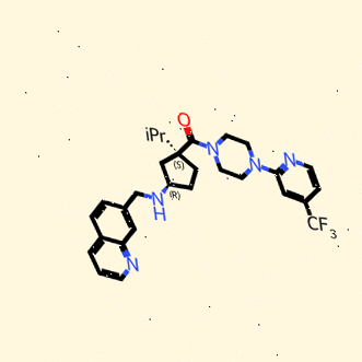 CC(C)[C@]1(C(=O)N2CCN(c3cc(C(F)(F)F)ccn3)CC2)CC[C@@H](NCc2ccc3cccnc3c2)C1